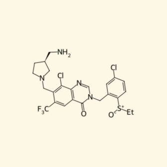 CC[S+]([O-])c1ccc(Cl)cc1Cn1cnc2c(Cl)c(CN3CC[C@@H](CN)C3)c(C(F)(F)F)cc2c1=O